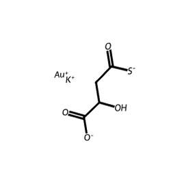 O=C([S-])CC(O)C(=O)[O-].[Au+].[K+]